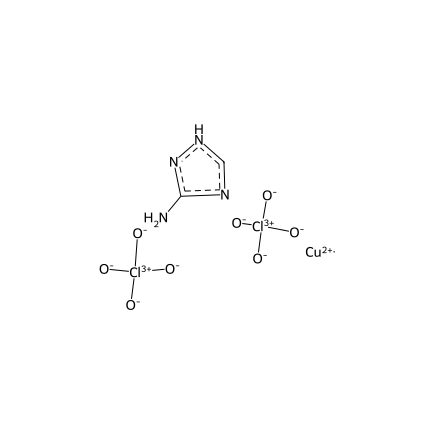 Nc1nc[nH]n1.[Cu+2].[O-][Cl+3]([O-])([O-])[O-].[O-][Cl+3]([O-])([O-])[O-]